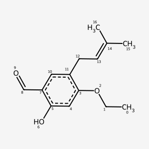 CCOc1cc(O)c(C=O)cc1CC=C(C)C